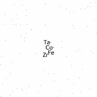 [Co].[Fe].[Ta].[Zr]